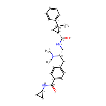 CN(C)[C@H](CNC(=O)[C@@H]1C[C@]1(C)c1ccccc1)Cc1ccc(C(=O)NC2CC2)cc1